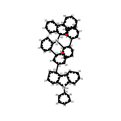 c1ccc(-c2ccccc2N(c2ccccc2-c2cccc(-c3cccc4c3c3ccccc3n4-c3ccccc3)c2)c2cc3ccccc3c3ccccc23)cc1